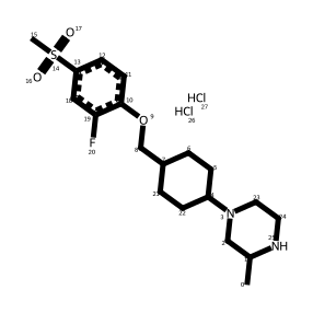 CC1CN(C2CCC(COc3ccc(S(C)(=O)=O)cc3F)CC2)CCN1.Cl.Cl